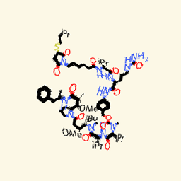 CC[C@H](C)[C@@H]([C@@H](CC(=O)N1CCC[C@H]1[C@H](OC)[C@@H](C)C(=O)N[C@H](C)Cc1ccccc1)OC)N(C)C(=O)[C@@H](NC(=O)C(C(C)C)N(C)C(=O)OCc1ccc(NC(=O)[C@H](CCCNC(N)=O)NC(=O)C(NC(=O)CCCCCN2C(=O)CC(SCCC(C)C)C2=O)C(C)C)cc1)C(C)C